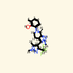 COc1c(C)[c]ccc1N1CCc2c(nn(C)c2-c2c(C(F)(F)F)nn(C)c2C)[C@@H]1C